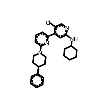 Clc1cnc(NC2CCCCC2)cc1-c1cccc(N2CCC(c3ccccc3)CC2)n1